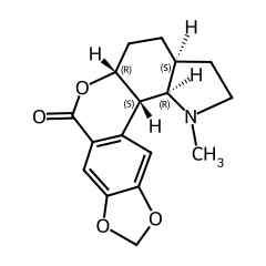 CN1CC[C@@H]2CC[C@H]3OC(=O)c4cc5c(cc4[C@H]3[C@@H]21)OCO5